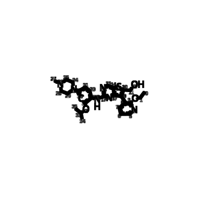 CCOc1ncccc1-c1c(CO)sc2cnc(Nc3ccc(N4CCN(C)CC4)cc3OC(C)C)nc12